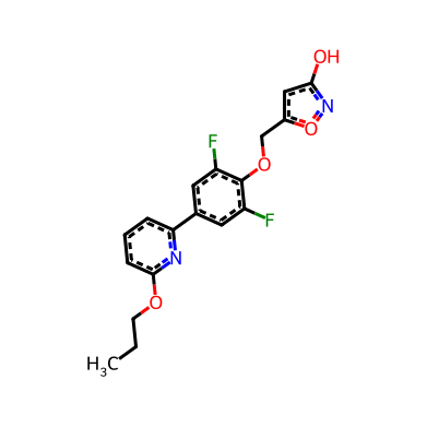 CCCOc1cccc(-c2cc(F)c(OCc3cc(O)no3)c(F)c2)n1